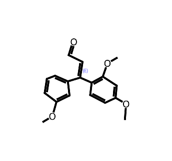 COc1cccc(/C(=C\C=O)c2ccc(OC)cc2OC)c1